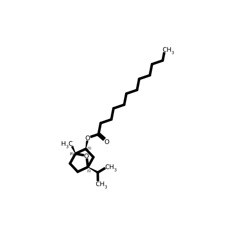 CCCCCCCCCCCC(=O)O[C@H]1C[C@]2(C(C)C)CC[C@@]1(C)O2